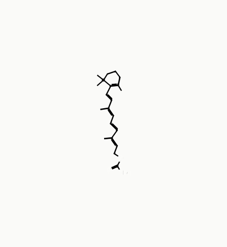 CC1=C(/C=C/C(C)=C/C=C/C(C)=C/COC(=O)C(C)(C)C)C(C)(C)CCC1